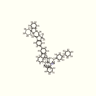 CC(/N=C(\NC(N)c1cccc2c1oc1ccc(-c3ccc4c(c3)C(C)(C)C3=CC5c6ccccc6C6(CCCCC6)C5C=C34)cc12)c1ccccc1)c1ccc(-c2ccccc2)cc1